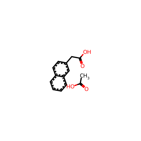 CC(=O)O.O=C(O)Cc1ccc2ccccc2c1